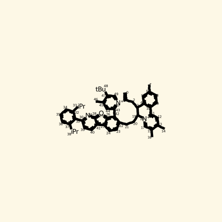 C=C1CC2c3cc(C)ccc3-c3cc(C)c(C)c[n+]3C2CCc2ccc3c(oc4nc(-c5c(C(C)C)cccc5C(C)C)ccc43)c2-c2cc(C)c(C(C)(C)C)c[n+]21